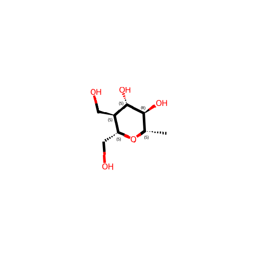 C[C@@H]1O[C@H](CO)[C@@H](CO)[C@H](O)[C@H]1O